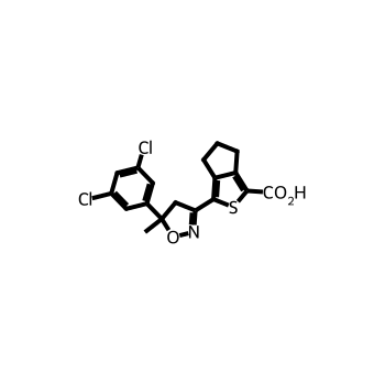 CC1(c2cc(Cl)cc(Cl)c2)CC(c2sc(C(=O)O)c3c2CCC3)=NO1